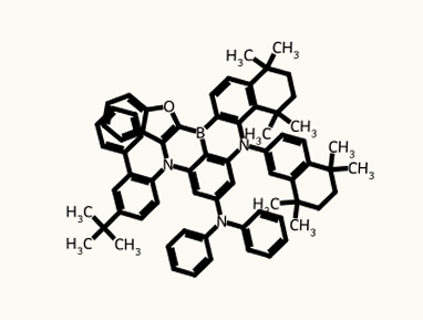 CC(C)(C)c1ccc(N2c3cc(N(c4ccccc4)c4ccccc4)cc4c3B(c3ccc5c(c3N4c3ccc4c(c3)C(C)(C)CCC4(C)C)C(C)(C)CCC5(C)C)c3oc4ccccc4c32)c(-c2ccccc2)c1